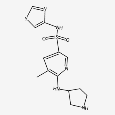 Cc1cc(S(=O)(=O)Nc2cscn2)cnc1NC1CCNC1